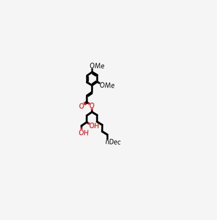 CCCCCCCCCCCCCCCC(CC(O)CO)OC(=O)C=Cc1ccc(OC)cc1OC